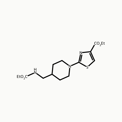 CCOC(=O)NCC1CCN(c2nc(C(=O)OCC)cs2)CC1